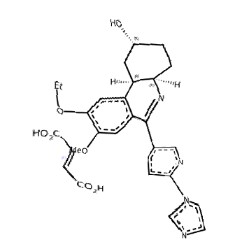 CCOc1cc2c(cc1OC)C(c1ccc(-n3ccnc3)nc1)=N[C@@H]1CC[C@@H](O)C[C@H]21.O=C(O)/C=C/C(=O)O